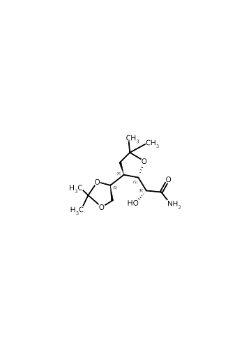 CC1(C)C[C@H]([C@H]2COC(C)(C)O2)[C@@H]([C@@H](O)C(N)=O)O1